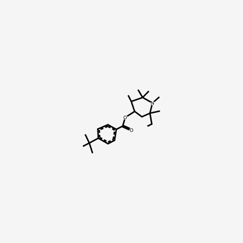 CCC1(C)CC(OC(=O)c2ccc(C(C)(C)C)cc2)C(C)C(C)(C)N1C